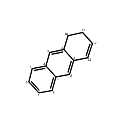 [c]1c2c(cc3ccccc13)CCC=C2